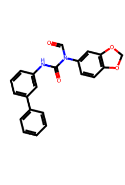 O=CN(C(=O)Nc1cccc(-c2ccccc2)c1)c1ccc2c(c1)OCO2